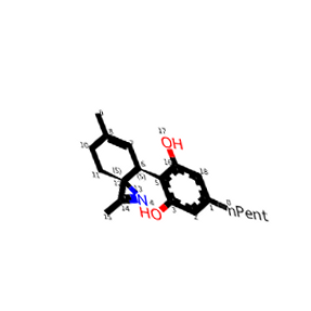 CCCCCc1cc(O)c([C@@H]2C=C(C)CC[C@]23N=C3C)c(O)c1